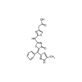 Cc1cc(C(=C2SC(Nc3nc(CC(=O)O)cs3)=NC2=O)c2ccccc2)n[nH]1